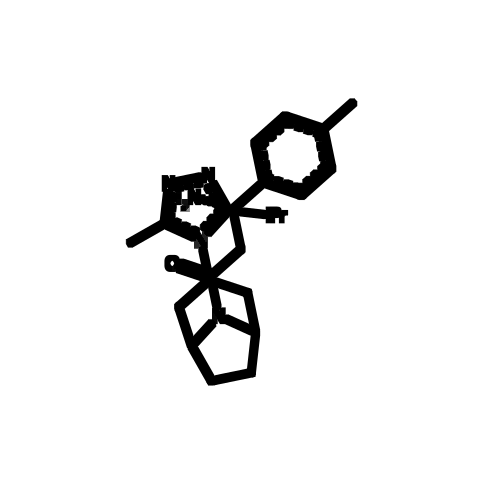 Cc1ccc([C@@H](N)CC(=O)N2C3CCC2CC(n2c(C)nnc2C(C)C)C3)cc1